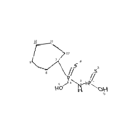 O[PH](=S)NP(O)(=S)C1CCCCC1